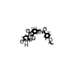 CCOc1ccc(C(=O)NCc2ccc3c(c2)C(=O)N(C2CCC(=O)NC2=O)C3=O)cc1